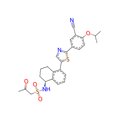 CC(=O)CS(=O)(=O)N[C@H]1CCCc2c(-c3cnc(-c4ccc(OC(C)C)c(C#N)c4)s3)cccc21